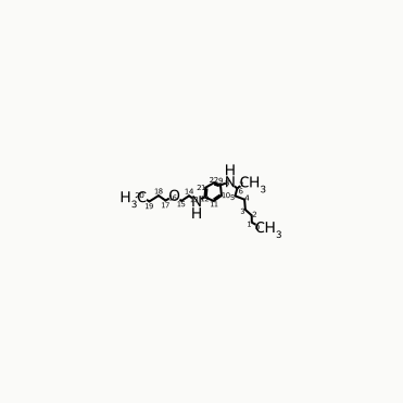 CCCCCCC(C)Nc1ccc(NCCOCCCC)cc1